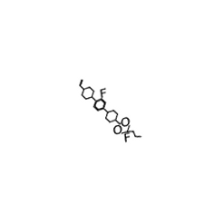 C=CC1CCC(c2ccc(C3CCC(C4OCC(F)(CCC)CO4)CC3)cc2F)CC1